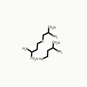 NC(CCS)C(=O)O.NC(CCSCC(N)C(=O)O)C(=O)O